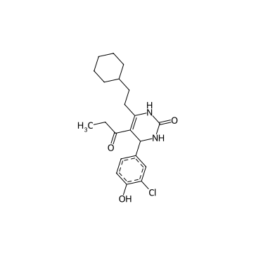 CCC(=O)C1=C(CCC2CCCCC2)NC(=O)NC1c1ccc(O)c(Cl)c1